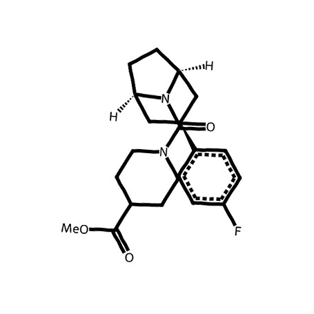 COC(=O)C1CCN(C(=O)N2[C@@H]3CC[C@H]2C[C@@H](c2ccc(F)cc2)C3)CC1